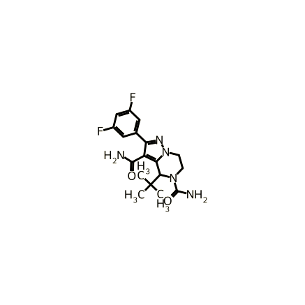 CC(C)(C)C1c2c(C(N)=O)c(-c3cc(F)cc(F)c3)nn2CCN1C(N)=O